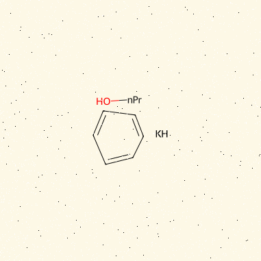 CCCO.[KH].c1ccccc1